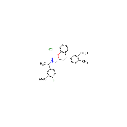 COc1cc(C(C)NC[C@H]2C[C@@H](c3ccc(C)c(C(=O)O)c3)c3ccccc3O2)ccc1F.Cl